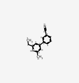 CCc1cc(-c2cccc(C#N)c2)cc(C)n1